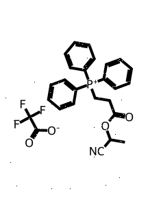 CC(C#N)OC(=O)CC[P+](c1ccccc1)(c1ccccc1)c1ccccc1.O=C([O-])C(F)(F)F